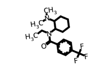 CCN(C(=O)c1ccc(C(F)(F)F)cc1)C1CCCCC1N(C)C